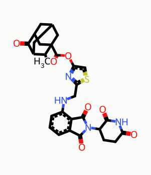 CC1C2CC3CC(CC1(C(=O)Oc1csc(CNc4cccc5c4C(=O)N(C4CCC(=O)NC4=O)C5=O)n1)C3)C2=O